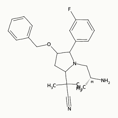 C[C@@H](N)CN1C(c2cccc(F)c2)C(OCc2ccccc2)CC1C(C)(C)C#N